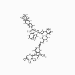 Cn1c(=O)n(C2CCC(=O)NC2=O)c2ccc(C#CCCC3CCN(c4ccncc4C4CN(C(=O)[C@@H]5CC[C@@H]6CCC[C@H](NC(=O)c7cc8cc(C(F)(F)P(=O)(O)O)ccc8s7)C(=O)N65)C4)CC3)cc21